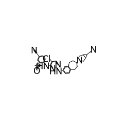 CP(C)(=O)c1cc(C#N)ccc1Nc1nc(Nc2ccc3c(c2)CC[C@H](N2CC4C(C#N)C4C2)CC3)ncc1Cl